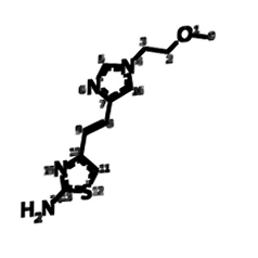 COCCn1cnc(C=Cc2csc(N)n2)c1